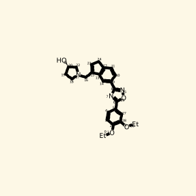 CCOc1ccc(-c2nc(-c3ccc4c(c3)C(CN3CC[C@H](O)C3)=CC4)no2)cc1OCC